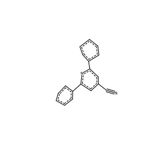 N#Cc1cc(-c2ccccc2)nc(-c2ccccc2)c1